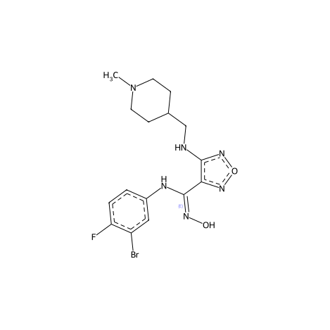 CN1CCC(CNc2nonc2/C(=N\O)Nc2ccc(F)c(Br)c2)CC1